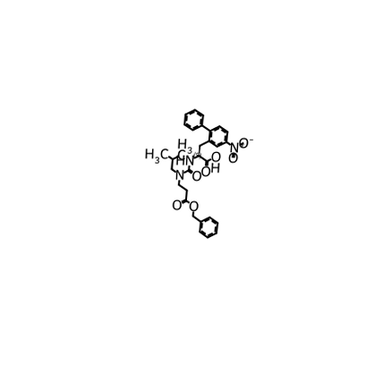 CC(C)CN(CCC(=O)OCc1ccccc1)C(=O)N[C@@H](Cc1cc([N+](=O)[O-])ccc1-c1ccccc1)C(=O)O